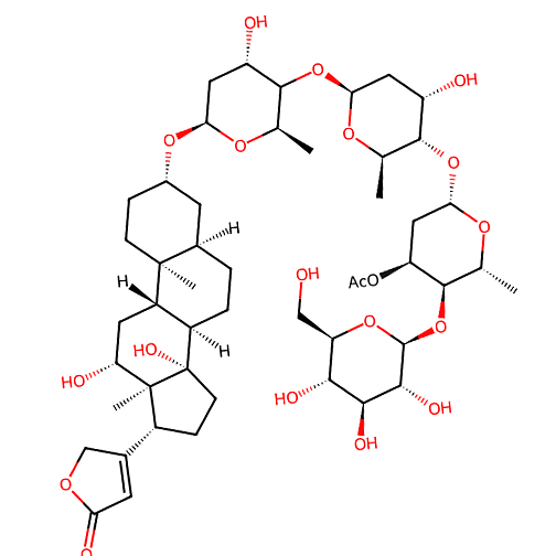 CC(=O)O[C@H]1C[C@H](O[C@H]2[C@@H](O)C[C@H](OC3[C@@H](O)C[C@H](O[C@H]4CC[C@@]5(C)[C@H](CC[C@@H]6[C@@H]5C[C@@H](O)[C@]5(C)[C@@H](C7=CC(=O)OC7)CC[C@]65O)C4)O[C@@H]3C)O[C@@H]2C)O[C@H](C)[C@H]1O[C@@H]1O[C@H](CO)[C@@H](O)[C@H](O)[C@H]1O